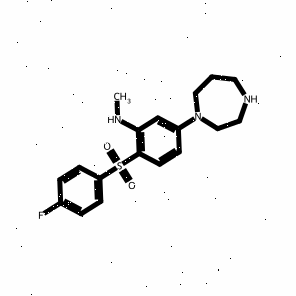 CNc1cc(N2CCCNCC2)ccc1S(=O)(=O)c1ccc(F)cc1